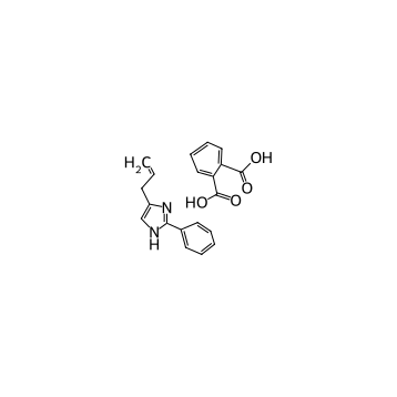 C=CCc1c[nH]c(-c2ccccc2)n1.O=C(O)c1ccccc1C(=O)O